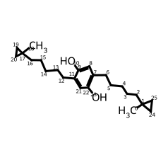 CC1(CCCCCc2cc(O)c(CCCCCC3(C)CC3)cc2O)CC1